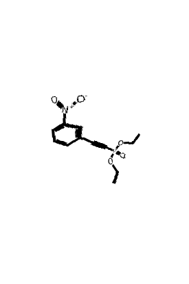 CCOP(=O)(C#Cc1cccc([N+](=O)[O-])c1)OCC